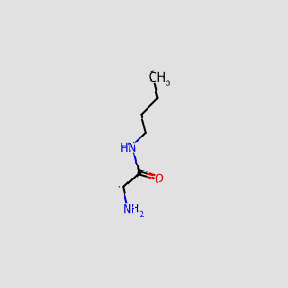 CCCCNC(=O)[CH]N